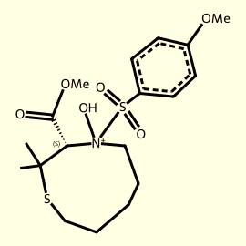 COC(=O)[C@H]1C(C)(C)SCCCCC[N+]1(O)S(=O)(=O)c1ccc(OC)cc1